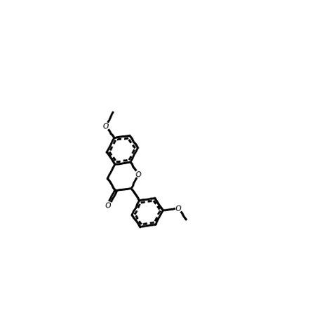 COc1cccc(C2Oc3ccc(OC)cc3CC2=O)c1